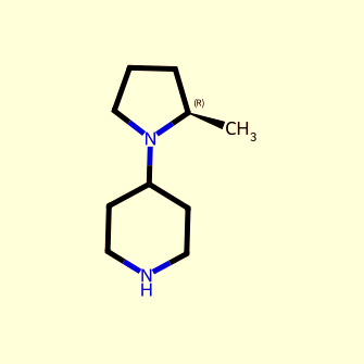 C[C@@H]1CCCN1C1CCNCC1